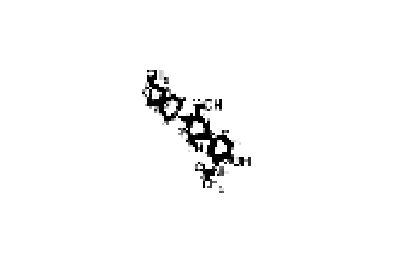 CC(=O)Nc1cc(-c2nc(CO)c(N3CCC4(CC3)CO[C@@H](C)C4)nc2C)ccc1O